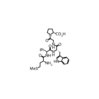 CSCC[C@H](N)C(=O)N[C@H](C(=O)N[C@@H](Cc1c[nH]c2ccccc12)C(=O)NCC(=O)N1CCC[C@H]1C(=O)O)C(C)C